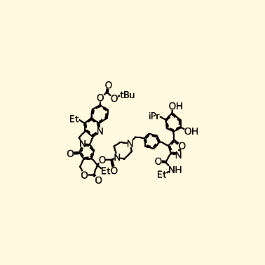 CCNC(=O)c1noc(-c2cc(C(C)C)c(O)cc2O)c1-c1ccc(CN2CCN(C(=O)OC3(CC)C(=O)OCc4c3cc3n(c4=O)Cc4c-3nc3ccc(OC(=O)OC(C)(C)C)cc3c4CC)CC2)cc1